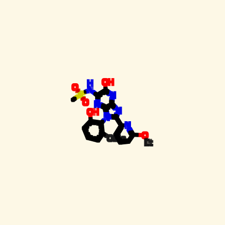 CCOC1=NC(c2nc3nc(O)c(NS(C)(=O)=O)nc3n2-c2c(O)cccc2OC)=C=C=C1